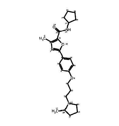 Cc1nc(-c2ccc(OCCCN3CCCC3C)cc2)oc1C(=O)NC1CCCC1